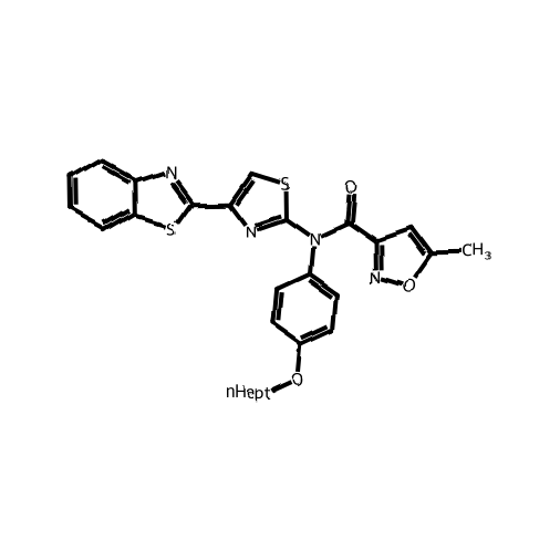 CCCCCCCOc1ccc(N(C(=O)c2cc(C)on2)c2nc(-c3nc4ccccc4s3)cs2)cc1